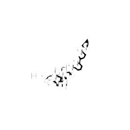 CC(=O)Cn1c(=O)c2c(ncn2[C@@H](C)C(=O)Nc2cccc(-c3ccc(N4CC5CC5C4)nc3)n2)n(C)c1=O